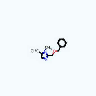 Cn1c(C=O)cnc1COCc1ccccc1